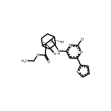 CCOC(=O)[C@@H]1C2CCC(CC2)[C@H]1Nc1cc(-c2cccs2)nc(Cl)n1